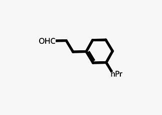 CCCC1C=C(CCC=O)CCC1